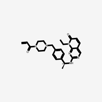 C=CC(=O)N1CCN(Cc2ccc([C@H](C)Nc3ncc4ccc(=O)n(CC)c4n3)cc2)CC1